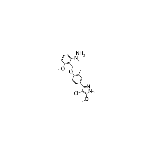 COc1cccc(N(C)N)c1COc1ccc(-c2nn(C)c(OC)c2Cl)cc1C